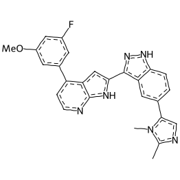 COc1cc(F)cc(-c2ccnc3[nH]c(-c4n[nH]c5ccc(-c6cnc(C)n6C)cc45)cc23)c1